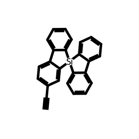 C#Cc1ccc2c(c1)[Si]1(c3ccccc3-c3ccccc31)c1ccccc1-2